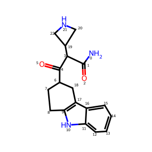 NC(=O)C(C(=O)C1CCc2[nH]c3ccccc3c2C1)C1CNC1